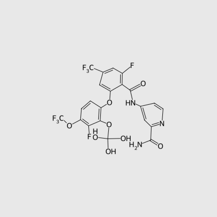 NC(=O)c1cc(NC(=O)c2c(F)cc(C(F)(F)F)cc2Oc2ccc(OC(F)(F)F)c(F)c2OC(O)(O)O)ccn1